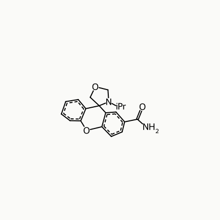 CC(C)N1COCC12c1ccccc1Oc1ccc(C(N)=O)cc12